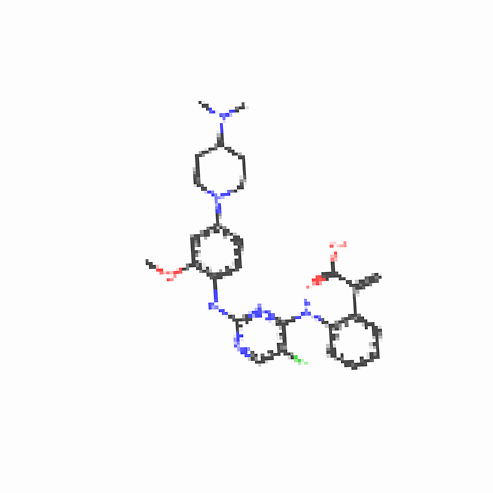 C=C(C(=O)O)c1ccccc1Nc1nc(Nc2ccc(N3CCC(N(C)C)CC3)cc2OC)ncc1Cl